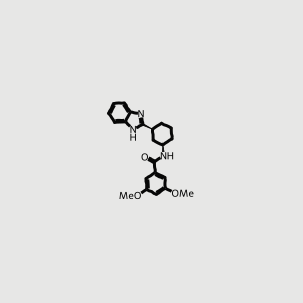 COc1cc(OC)cc(C(=O)N[C@@H]2CCC[C@H](c3nc4ccccc4[nH]3)C2)c1